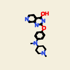 CN1CCC(N(C)c2ccc(Oc3nc(O)c4ccncc4n3)cc2)CC1